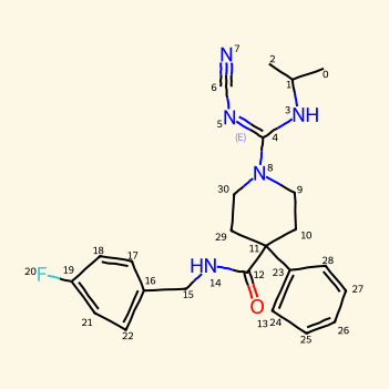 CC(C)N/C(=N\C#N)N1CCC(C(=O)NCc2ccc(F)cc2)(c2ccccc2)CC1